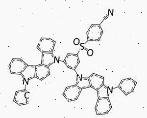 N#Cc1ccc(S(=O)(=O)c2cc(-n3c4ccccc4c4c5c6ccccc6n(-c6ccccc6)c5ccc43)cc(-n3c4ccccc4c4c5c6ccccc6n(-c6ccccc6)c5ccc43)c2)cc1